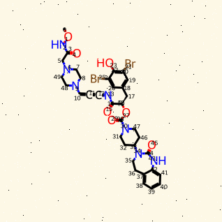 CONC(=O)CN1CCN(C=C=C=NC(=O)[C@@H](Cc2cc(Br)c(O)c(Br)c2)OC(=O)N2CCC(N3CCc4ccccc4NC3=O)CC2)CC1